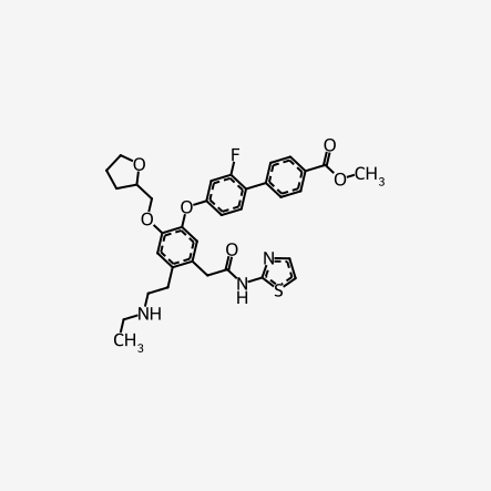 CCNCCc1cc(OCC2CCCO2)c(Oc2ccc(-c3ccc(C(=O)OC)cc3)c(F)c2)cc1CC(=O)Nc1nccs1